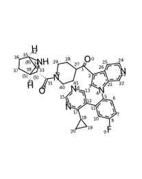 O=C(c1cn(-c2ccc(F)cc2-c2cncnc2C2CC2)c2cnccc12)C1CCN(C(=O)[C@H]2N[C@@H]3CC[C@H]2C3)CC1